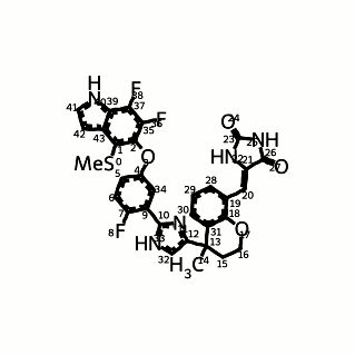 CSc1c(Oc2ccc(F)c(-c3nc(C4(C)CCOc5c(/C=C6\NC(=O)NC6=O)cccc54)c[nH]3)c2)c(F)c(F)c2[nH]ccc12